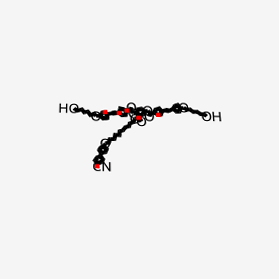 N#Cc1ccc(-c2ccc(OCCCCCCCCCCCOC(=O)c3cc(OC(=O)c4ccc(C#Cc5ccc(OCCCCCCO)cc5)cc4)ccc3OC(=O)c3ccc(C#Cc4ccc(OCCCCCCO)cc4)cc3)cc2)cc1